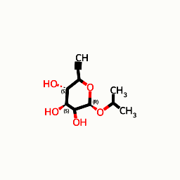 C#CC1O[C@@H](OC(C)C)C(O)[C@@H](O)[C@@H]1O